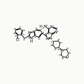 Nc1ncnc2c1c(-c1ccc3nc(Cc4ccccc4Cl)[nH]c3c1)nn2[C@H]1CC[C@H](N2CCOCC2)CC1